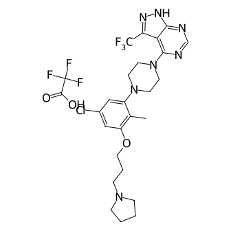 Cc1c(OCCCN2CCCC2)cc(Cl)cc1N1CCN(c2ncnc3[nH]nc(C(F)(F)F)c23)CC1.O=C(O)C(F)(F)F